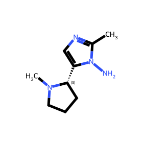 Cc1ncc([C@@H]2CCCN2C)n1N